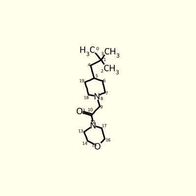 CC(C)(C)CC1CCN(CC(=O)N2CCOCC2)CC1